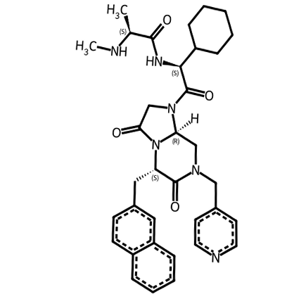 CN[C@@H](C)C(=O)N[C@H](C(=O)N1CC(=O)N2[C@@H]1CN(Cc1ccncc1)C(=O)[C@@H]2Cc1ccc2ccccc2c1)C1CCCCC1